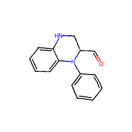 O=CC1CNc2ccccc2N1c1ccccc1